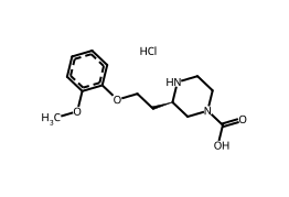 COc1ccccc1OCC[C@@H]1CN(C(=O)O)CCN1.Cl